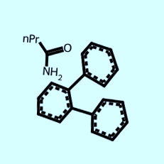 CCCC(N)=O.c1ccc(-c2ccccc2-c2ccccc2)cc1